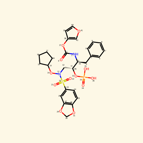 O=C(N[C@@H](Cc1ccccc1)[C@@H](CN(OC1CCCC1)S(=O)(=O)c1ccc2c(c1)OCO2)OP(=O)(O)O)Oc1ccoc1